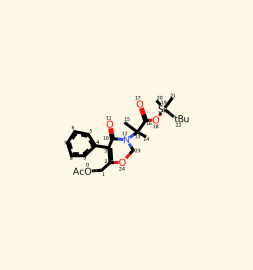 CC(=O)OCC1=C(c2ccccc2)C(=O)N(C(C)(C)C(=O)O[Si](C)(C)C(C)(C)C)CO1